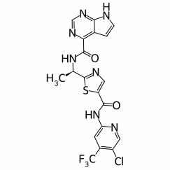 C[C@@H](NC(=O)c1ncnc2[nH]ccc12)c1ncc(C(=O)Nc2cc(C(F)(F)F)c(Cl)cn2)s1